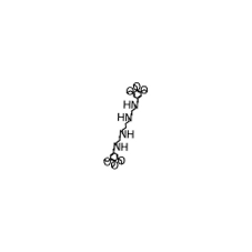 COc1cc(CNCCCNCCCCNCCCNCc2cc(OC)c(OC)c(OC)c2)cc(OC)c1OC